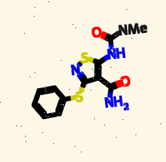 CNC(=O)Nc1snc(Sc2ccccc2)c1C(N)=O